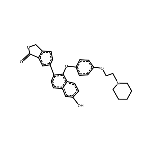 O=C1OCc2ccc(-c3ccc4cc(O)ccc4c3Oc3ccc(OCCN4CCCCC4)cc3)cc21